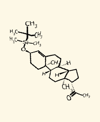 CC(=O)[C@H]1CC[C@H]2[C@@H]3CCC4=C[C@H](O[Si](C)(C)C(C)(C)C)CC[C@]4(C)[C@H]3CC[C@]12C